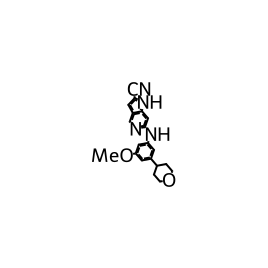 COc1cc(Nc2cc3[nH]c(C#N)cc3cn2)cc(C2CCOCC2)c1